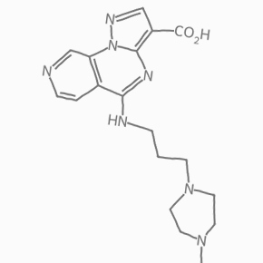 CN1CCN(CCCNc2nc3c(C(=O)O)cnn3c3cnccc23)CC1